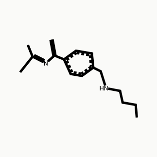 C=C(N=C(C)C)c1ccc(CNCCCC)cc1